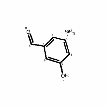 O=Cc1cccc(O)c1.[BiH3]